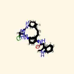 Cc1[nH]c2ccccc2c1CC(=O)Nc1ccc2cc1CCC1=CCCC(=C1)Nc1ncc(Cl)c(n1)N2